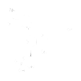 C#CCCCO[C@H]1C([n+]2cccc(C(N)=O)c2)O[C@H](COP(=O)(O)O)[C@H]1O